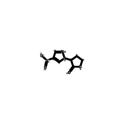 O=C1OCCC1n1cc([N+](=O)[O-])cn1